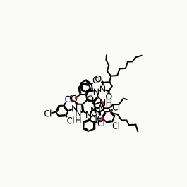 CCCCCCCC(CCCC)C1CC(=O)N(N(c2ccccc2Cl)c2[nH]n(-c3c(Cl)cc(Cl)cc3Cl)c(=O)c2C(c2ccccc2Cl)c2c(N(c3ccccc3Cl)N3C(=O)CC(C(CCCC)CCCCCCC)C3=O)[nH]n(-c3c(Cl)cc(Cl)cc3Cl)c2=O)C1=O